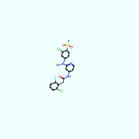 CC(=O)N(c1ccc(S(C)(=O)=O)c(Cl)c1)c1cc(NC(=O)Cc2c(F)cccc2Cl)ccn1